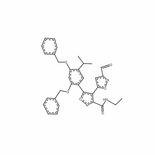 CCNC(=O)c1noc(-c2cc(C(C)C)c(OCc3ccccc3)cc2OCc2ccccc2)c1-c1cc(C=O)no1